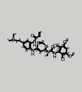 C=CC(=O)Nc1cc(CCN(C)C)ccc1Nc1cc(N(C)C(=O)Nc2c(Cl)c(OC)cc(OC)c2Cl)ncn1